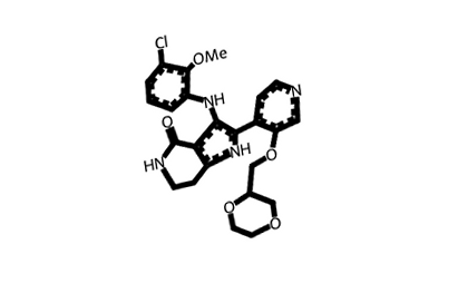 COc1c(Cl)cccc1Nc1c(-c2ccncc2OCC2COCCO2)[nH]c2c1C(=O)NCC2